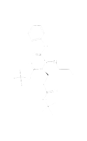 CC(C)(C)OC(=O)CC[C@@H](C(=O)OC(C)(C)C)N(NCCI)C(=O)Oc1ccccc1